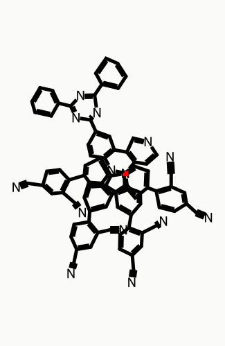 N#Cc1ccc(-c2ccc3c(c2)c2cc(-c4ccc(C#N)cc4C#N)ccc2n3-c2ccncc2-c2cc(-c3nc(-c4ccccc4)nc(-c4ccccc4)n3)ccc2-n2c3ccc(-c4ccc(C#N)cc4C#N)cc3c3cc(-c4ccc(C#N)cc4C#N)ccc32)c(C#N)c1